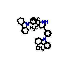 CC1CC=Cc2c1c1ccccc1n2-c1cccc(C2=CNC(C)C(C)(c3cccc(N4C5=C(C=CCC5)C5CCCCC54)c3)C2)c1